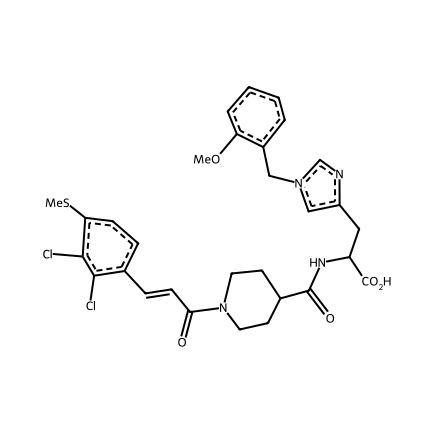 COc1ccccc1Cn1cnc(CC(NC(=O)C2CCN(C(=O)C=Cc3ccc(SC)c(Cl)c3Cl)CC2)C(=O)O)c1